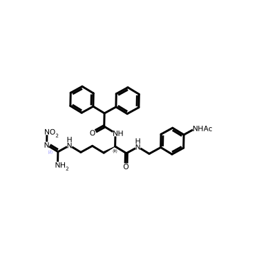 CC(=O)Nc1ccc(CNC(=O)[C@@H](CCCN/C(N)=N\[N+](=O)[O-])NC(=O)C(c2ccccc2)c2ccccc2)cc1